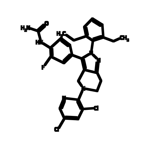 CCc1cccc(CC)c1-n1nc2c(c1-c1ccc(NC(N)=O)c(F)c1)CN(c1ncc(Cl)cc1Cl)CC2